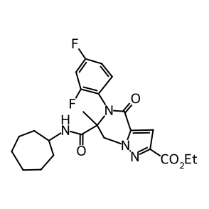 CCOC(=O)c1cc2n(n1)CC(C)(C(=O)NC1CCCCCC1)N(c1ccc(F)cc1F)C2=O